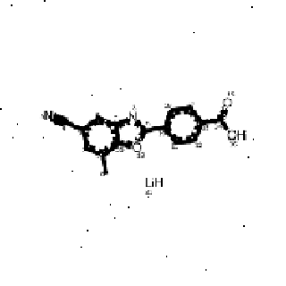 Cc1cc(C#N)cc2nc(-c3ccc(C(=O)O)cc3)oc12.[LiH]